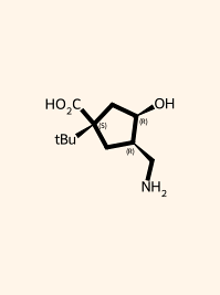 CC(C)(C)[C@]1(C(=O)O)C[C@H](CN)[C@H](O)C1